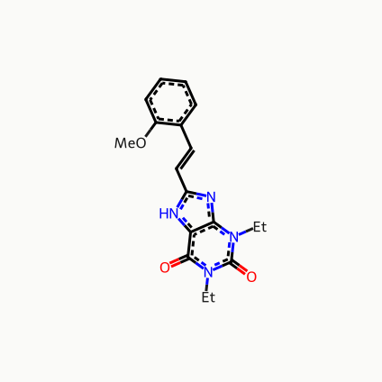 CCn1c(=O)c2[nH]c(C=Cc3ccccc3OC)nc2n(CC)c1=O